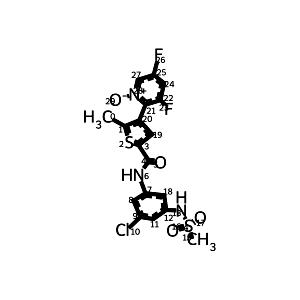 Cc1sc(C(=O)Nc2cc(Cl)cc(NS(C)(=O)=O)c2)cc1-c1c(F)cc(F)c[n+]1[O-]